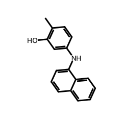 Cc1ccc(Nc2cccc3ccccc23)cc1O